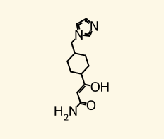 NC(=O)/C=C(\O)C1CCC(Cn2ccnc2)CC1